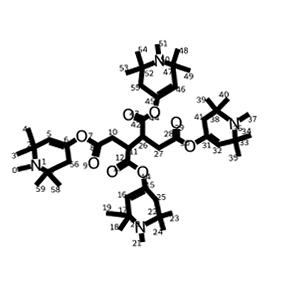 CN1C(C)(C)C=C(OC(=O)CC(C(=O)OC2=CC(C)(C)N(C)C(C)(C)C2)C(CC(=O)OC2=CC(C)(C)N(C)C(C)(C)C2)C(=O)OC2=CC(C)(C)N(C)C(C)(C)C2)CC1(C)C